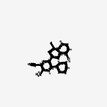 Cc1cc(-c2nc(C#N)c(N)nc2-c2ccccc2)cc2c(Cl)ccnc12